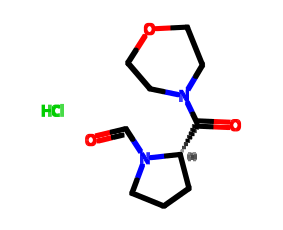 Cl.O=CN1CCC[C@H]1C(=O)N1CCOCC1